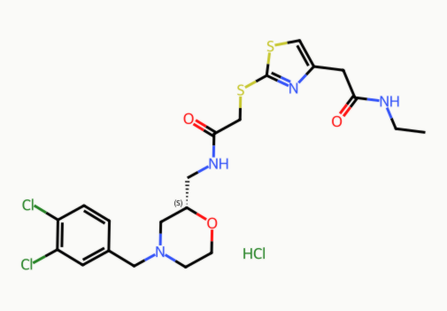 CCNC(=O)Cc1csc(SCC(=O)NC[C@H]2CN(Cc3ccc(Cl)c(Cl)c3)CCO2)n1.Cl